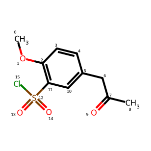 COc1ccc(CC(C)=O)cc1S(=O)(=O)Cl